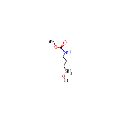 CCO[SiH2]CCCNC(=O)OC(C)C